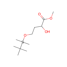 COC(=O)C(O)CCO[Si](C)(C)C(C)(C)C